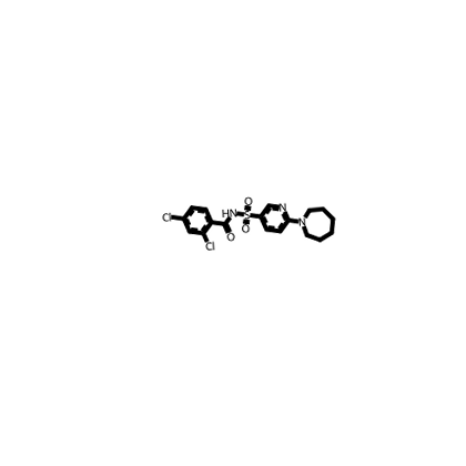 O=C(NS(=O)(=O)c1ccc(N2CCCCCC2)nc1)c1ccc(Cl)cc1Cl